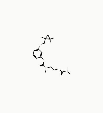 CNC(=O)OCCN(C)C(=O)Nc1cccc(OCC2(C)CC2(Cl)Cl)c1